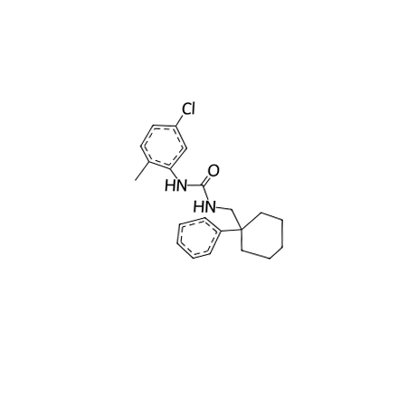 Cc1ccc(Cl)cc1NC(=O)NCC1(c2ccccc2)CCCCC1